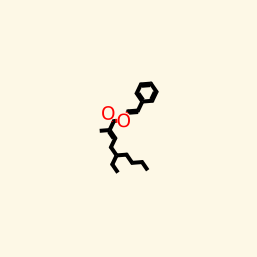 CCCCC(CC)CC=C(C)C(=O)OC=Cc1ccccc1